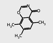 Cc1cc(C)c2c(=O)ncoc2c1C